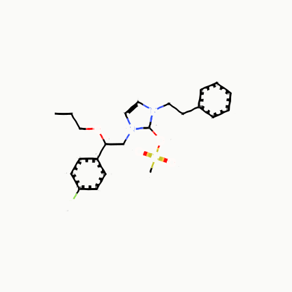 CCCOC(CN1C=CN(CCc2ccccc2)C1OS(C)(=O)=O)c1ccc(F)cc1